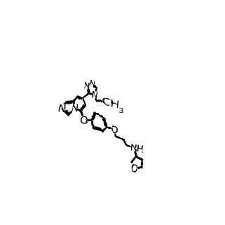 CCn1cnnc1-c1cc(Oc2ccc(OCCCNC3CCOC3)cc2)n2cncc2c1